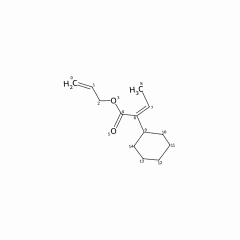 C=CCOC(=O)C(=CC)C1CCCCC1